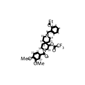 CCOc1ccccc1CN1CCC2(CC1)CCN(C(=O)c1ccc(OC)c(OC)c1)CC2OC(=O)C(F)(F)F